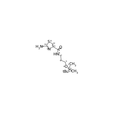 CC(C)(C)[Si](C)(C)OCCCNC(=O)c1csc(N)n1